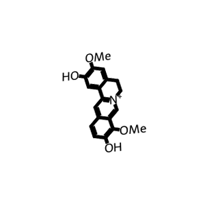 COc1cc2c(cc1O)-c1cc3ccc(O)c(OC)c3c[n+]1CC2